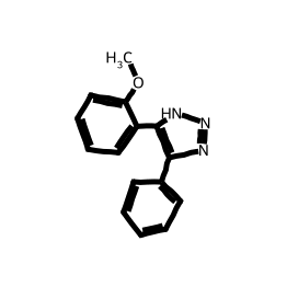 COc1ccccc1-c1[nH]nnc1-c1ccccc1